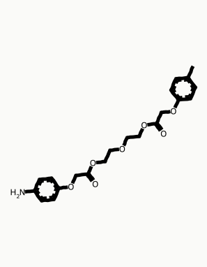 Cc1ccc(OCC(=O)OCCOCCOC(=O)COc2ccc(N)cc2)cc1